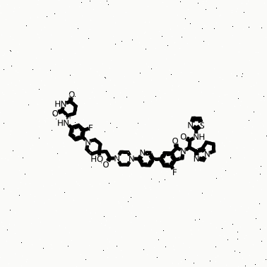 O=C1CC[C@H](Nc2ccc(N3CCC(O)(CC(=O)N4CCN(c5ccc(-c6cc(F)c7c(c6)C(=O)N(C(C(=O)Nc6nccs6)c6ncn8c6CCC8)C7)cn5)CC4)CC3)c(F)c2)C(=O)N1